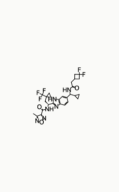 Cc1nonc1C(=O)N[C@@H](CC1(C(F)(F)F)CC1)c1nc2ccc(C(NC(=O)CC3CC(F)(F)C3)C3CC3)cc2[nH]1